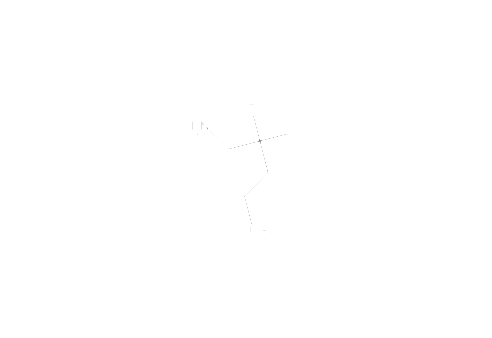 CCCCCCC(O)(CC)CN